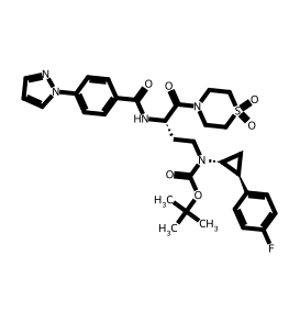 CC(C)(C)OC(=O)N(CC[C@H](NC(=O)c1ccc(-n2cccn2)cc1)C(=O)N1CCS(=O)(=O)CC1)[C@@H]1C[C@H]1c1ccc(F)cc1